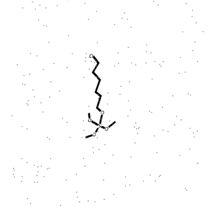 CO[Si](OC)(OC)OCCCCCCCl